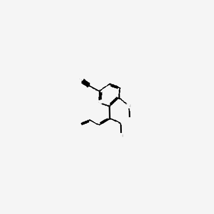 C=C/C=C(/CN)c1nc(C#N)ccc1NC